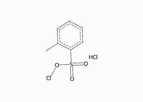 Cc1ccccc1S(=O)(=O)OCl.Cl